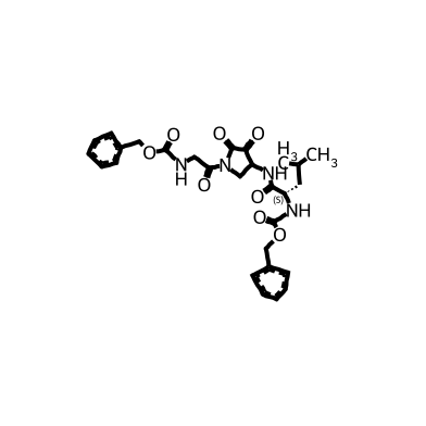 CC(C)C[C@H](NC(=O)OCc1ccccc1)C(=O)NC1CN(C(=O)CNC(=O)OCc2ccccc2)C(=O)C1=O